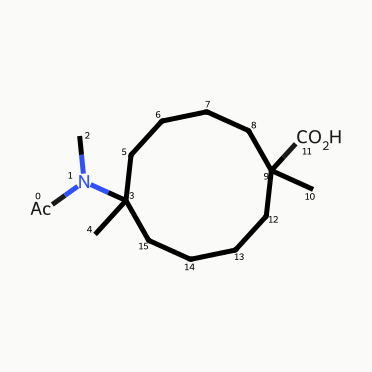 CC(=O)N(C)C1(C)CCCCC(C)(C(=O)O)CCCC1